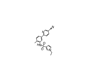 CCn1ccc(S(=O)(=O)Nc2cc(-c3ccc(C#N)cn3)ccc2C)c1